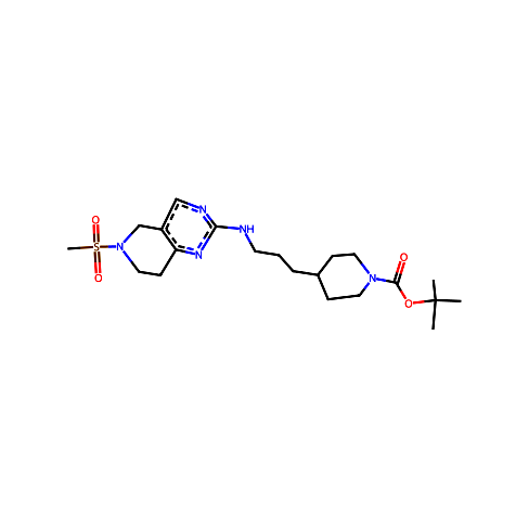 CC(C)(C)OC(=O)N1CCC(CCCNc2ncc3c(n2)CCN(S(C)(=O)=O)C3)CC1